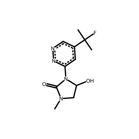 CN1CC(O)N(c2cc(C(C)(C)F)cnn2)C1=O